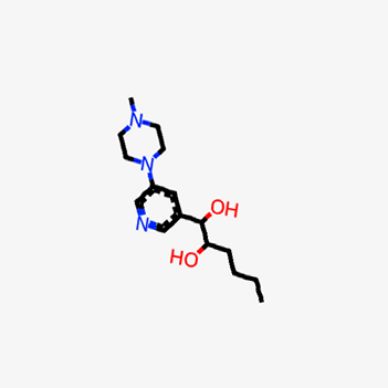 CCCCC(O)C(O)c1cncc(N2CCN(C)CC2)c1